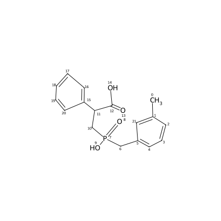 Cc1cccc(CP(=O)(O)CC(C(=O)O)c2ccccc2)c1